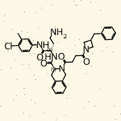 Cc1cc(NC(=O)[C@H](CCN)NC(=O)[C@@H]2Cc3ccccc3CN2C(=O)CCC(=O)N2CC(Cc3ccccc3)C2)ccc1Cl